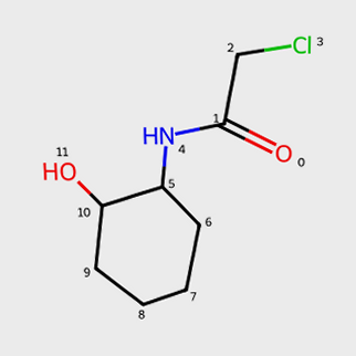 O=C(CCl)NC1CCCCC1O